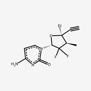 C#C[C@]1(CC)O[C@@H](n2ccc(N)nc2=O)C(F)(F)[C@@H]1C